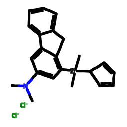 CN(C)c1cc2c([c]([Zr]([CH3])([CH3])[CH]3C=CC=C3)c1)Cc1ccccc1-2.[Cl-].[Cl-]